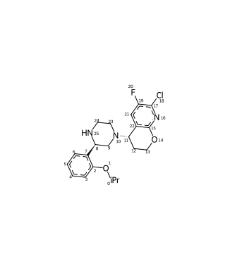 CC(C)Oc1ccccc1[C@@H]1CN([C@H]2CCOc3nc(Cl)c(F)cc32)CCN1